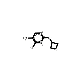 FC(F)(F)c1cnc(OC2COC2)nc1Cl